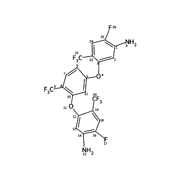 Nc1cc(Oc2ccc(C(F)(F)F)c(Oc3cc(N)c(F)cc3C(F)(F)F)c2)c(C(F)(F)F)cc1F